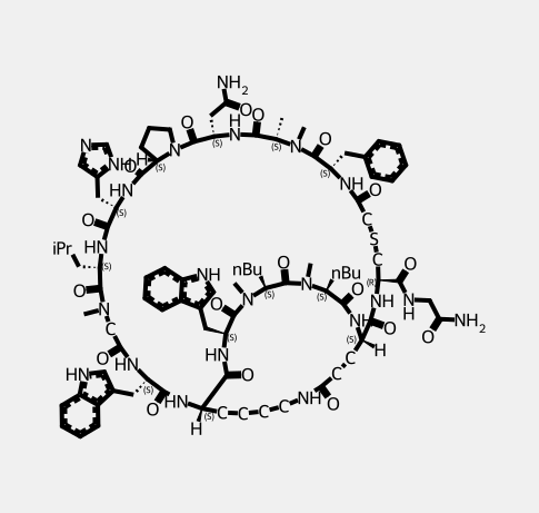 CCCC[C@H]1C(=O)N(C)[C@@H](CCCC)C(=O)N[C@H]2CCC(=O)NCCCC[C@H](NC(=O)[C@H](Cc3c[nH]c4ccccc34)NC(=O)CN(C)C(=O)[C@H](CC(C)C)NC(=O)[C@H](Cc3cnc[nH]3)NC(=O)[C@@H]3CCCN3C(=O)[C@H](CC(N)=O)NC(=O)[C@H](C)N(C)C(=O)[C@H](Cc3ccccc3)NC(=O)CSC[C@@H](C(=O)NCC(N)=O)NC2=O)C(=O)N[C@@H](Cc2c[nH]c3ccccc23)C(=O)N1C